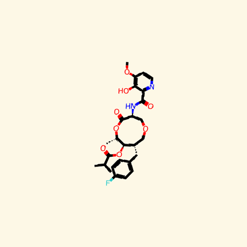 COc1ccnc(C(=O)N[C@H]2COC[C@H](Cc3ccc(F)cc3)[C@@H](OC(=O)C(C)C)[C@H](C)OC2=O)c1O